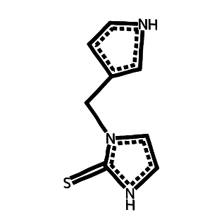 S=c1[nH]ccn1Cc1cc[nH]c1